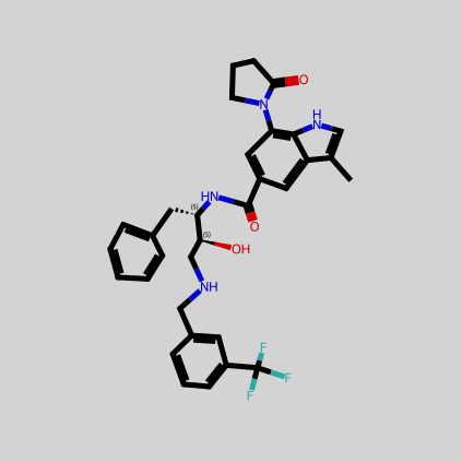 Cc1c[nH]c2c(N3CCCC3=O)cc(C(=O)N[C@@H](Cc3ccccc3)[C@@H](O)CNCc3cccc(C(F)(F)F)c3)cc12